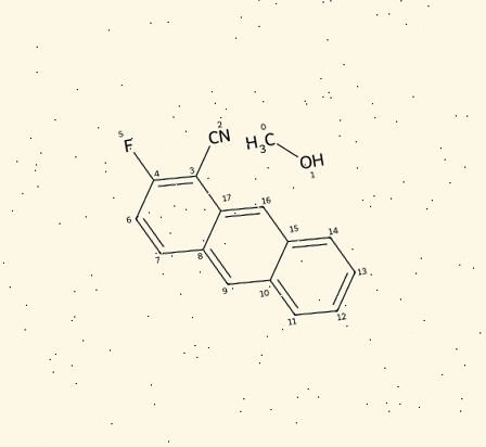 CO.N#Cc1c(F)ccc2cc3ccccc3cc12